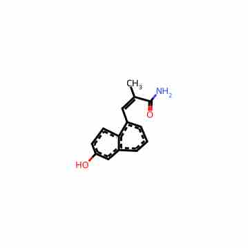 CC(=Cc1cccc2cc(O)ccc12)C(N)=O